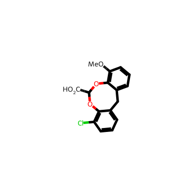 COc1cccc2c1OC(C(=O)O)Oc1c(Cl)cccc1C2